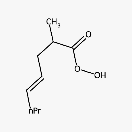 CCCC=CCC(C)C(=O)OO